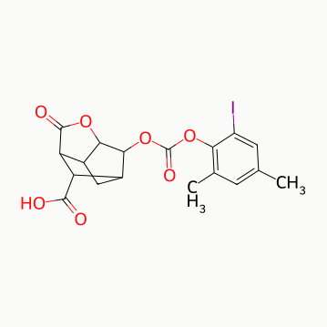 Cc1cc(C)c(OC(=O)OC2C3CC4C2OC(=O)C4C3C(=O)O)c(I)c1